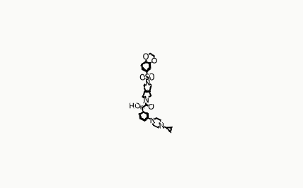 O=C([C@@H](O)c1cccc(N2CCN(C3CC3)CC2)c1)N1CC2=C(C1)CN(S(=O)(=O)c1ccc3c(c1)OCCO3)C2